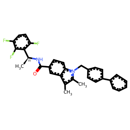 Cc1c(C)n(Cc2ccc(-c3ccccc3)cc2)c2ccc(C(=O)N[C@@H](C)c3c(F)ccc(F)c3F)cc12